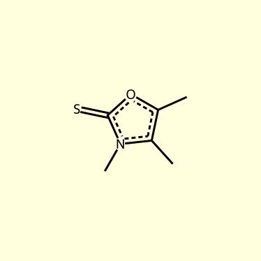 Cc1oc(=S)n(C)c1C